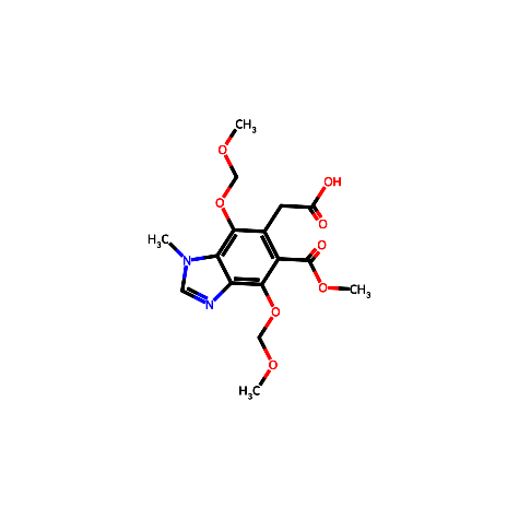 COCOc1c(C(=O)OC)c(CC(=O)O)c(OCOC)c2c1ncn2C